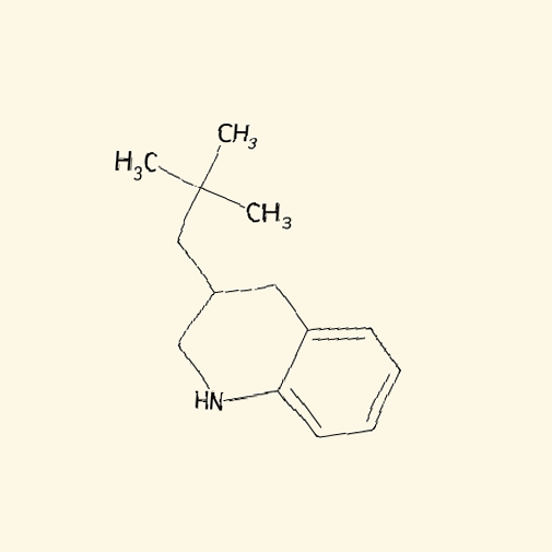 CC(C)(C)CC1CNc2ccccc2C1